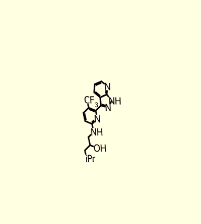 CC(C)CC(O)CNc1ccc(C(F)(F)F)c(-c2n[nH]c3ncccc23)n1